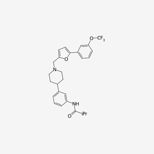 CC(C)C(=O)Nc1cccc(C2CCN(Cc3ccc(-c4cccc(OC(F)(F)F)c4)o3)CC2)c1